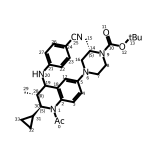 CC(=O)N1c2ccc(N3CCN(C(=O)OC(C)(C)C)[C@@H](C)C3)cc2C(Nc2ccc(C#N)cc2)[C@@H](C)[C@@H]1C1CC1